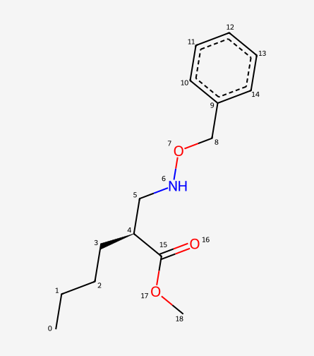 CCCC[C@@H](CNOCc1ccccc1)C(=O)OC